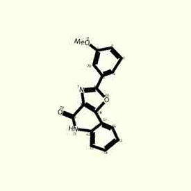 COc1cccc(-c2nc3c(=O)[nH]c4ccccc4c3o2)c1